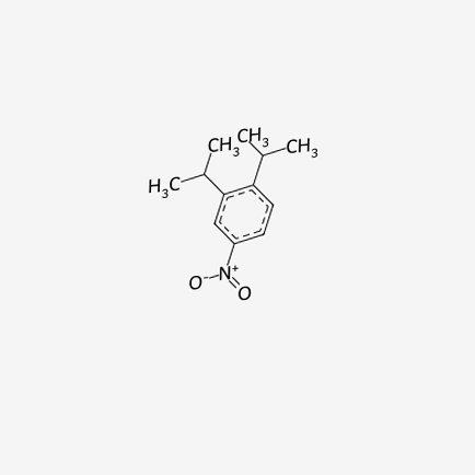 CC(C)c1ccc([N+](=O)[O-])cc1C(C)C